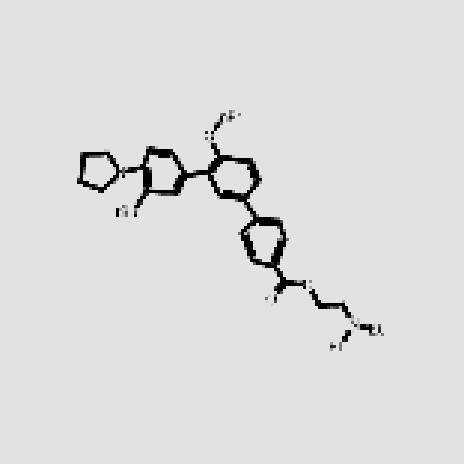 CCCOc1ccc(-c2ccc(C(=O)OCCN(CC)CC)cc2)cc1-c1ccc(N2CCCC2)c(C(C)(C)C)c1